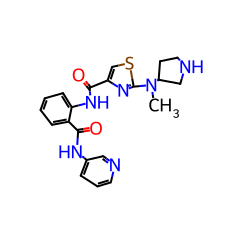 CN(c1nc(C(=O)Nc2ccccc2C(=O)Nc2cccnc2)cs1)[C@@H]1CCNC1